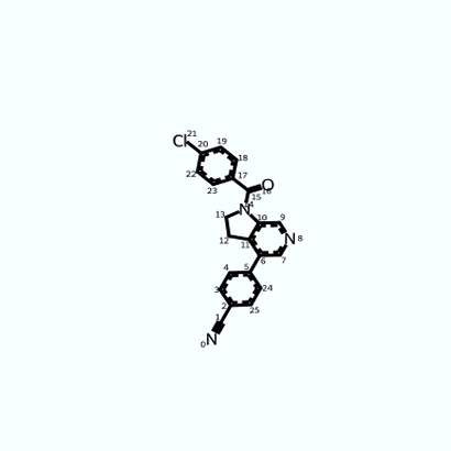 N#Cc1ccc(-c2cncc3c2CCN3C(=O)c2ccc(Cl)cc2)cc1